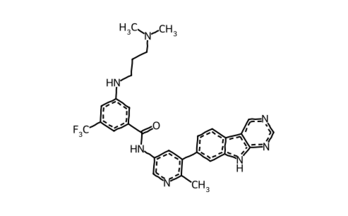 Cc1ncc(NC(=O)c2cc(NCCCN(C)C)cc(C(F)(F)F)c2)cc1-c1ccc2c(c1)[nH]c1ncncc12